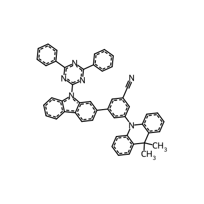 CC1(C)c2ccccc2N(c2cc(C#N)cc(-c3ccc4c5ccccc5n(-c5nc(-c6ccccc6)nc(-c6ccccc6)n5)c4c3)c2)c2ccccc21